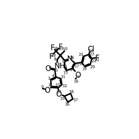 COc1cc(C(=O)NCC(C)(c2ccc(OC)c(-c3ccc(F)c(Cl)c3)n2)C(F)(F)F)ccc1OC1CCC1